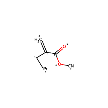 C=C(CC(C)C)C(=O)OC#N